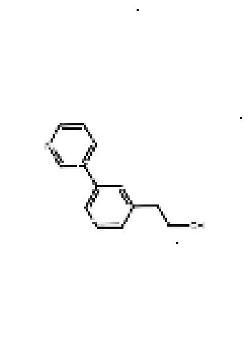 OCCc1cccc(-c2cccnc2)c1